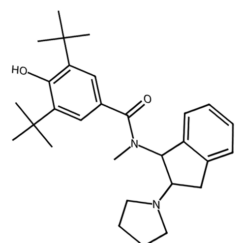 CN(C(=O)c1cc(C(C)(C)C)c(O)c(C(C)(C)C)c1)C1c2ccccc2CC1N1CCCC1